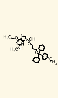 CCOc1nc(NC)nc2c1ncn2C(O)OCCCOC(c1ccccc1)(c1ccccc1)c1ccc(OC)cc1